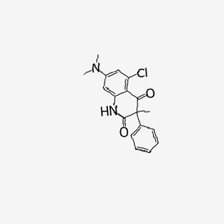 CN(C)c1cc(Cl)c2c(c1)NC(=O)C(C)(c1ccccc1)C2=O